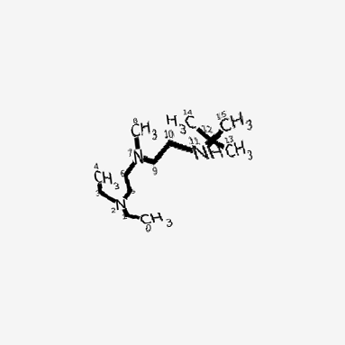 CCN(CC)CCN(C)CCNC(C)(C)C